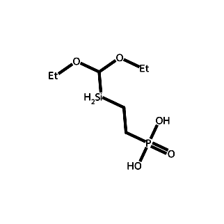 CCOC(OCC)[SiH2]CCP(=O)(O)O